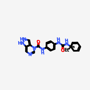 CC[C@@]1(NC(=O)Nc2ccc(NC(=O)N3C=NC=C4NNC=C43)cc2)C=CC=CC1